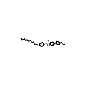 CCCCCCCCCCCC[C@H]1CC[C@H](COc2ccc(-c3ccc(CCC)cc3)cc2F)CC1